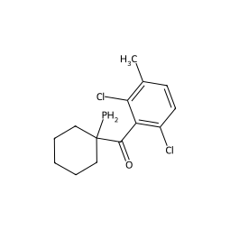 Cc1ccc(Cl)c(C(=O)C2(P)CCCCC2)c1Cl